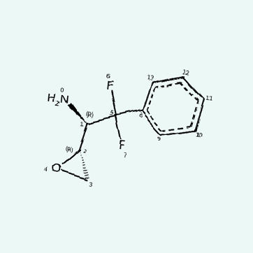 N[C@H]([C@@H]1CO1)C(F)(F)c1ccccc1